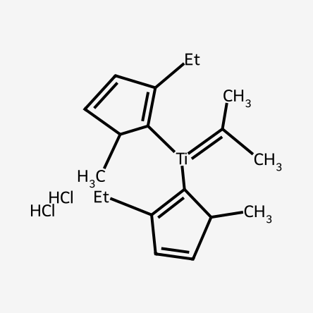 CCC1=[C]([Ti]([C]2=C(CC)C=CC2C)=[C](C)C)C(C)C=C1.Cl.Cl